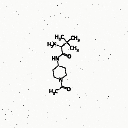 CC(=O)N1CCC(NC(=O)C(N)C(C)(C)C)CC1